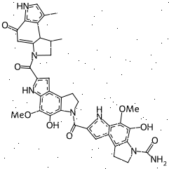 COc1c(O)c2c(c3cc(C(=O)N4CCc5c4c(O)c(OC)c4[nH]c(C(=O)N6CC(C)C7C6=CC(=O)c6[nH]cc(C)c67)cc54)[nH]c13)CCN2C(N)=O